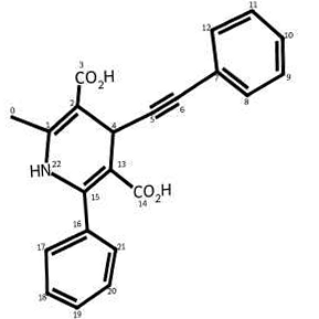 CC1=C(C(=O)O)C(C#Cc2ccccc2)C(C(=O)O)=C(c2ccccc2)N1